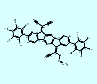 C=NC/C(C#N)=C1\c2cc(-c3c(F)c(F)c(F)c(F)c3F)ccc2-c2cc3c(cc21)-c1ccc(-c2c(F)c(F)c(F)c(F)c2F)cc1C3=C(C#N)C#N